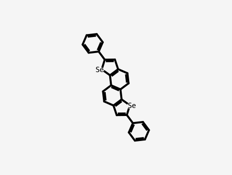 c1ccc(-c2cc3ccc4c(ccc5cc(-c6ccccc6)[se]c54)c3[se]2)cc1